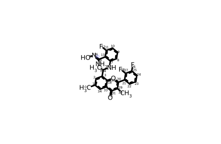 Cc1cc([C@@H](C)Nc2cccc(F)c2/C(N)=N/O)c2oc(-c3cccc(F)c3F)c(C)c(=O)c2c1